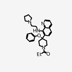 CCC(=O)N1CCC(Oc2ccccc2)(c2ccc3cccnc3c2NCCN2CCCC2)CC1